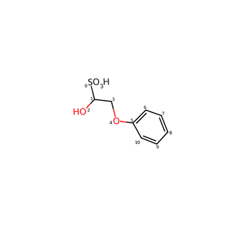 O=S(=O)(O)C(O)COc1ccccc1